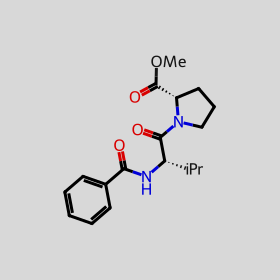 COC(=O)[C@@H]1CCCN1C(=O)[C@@H](NC(=O)c1ccccc1)C(C)C